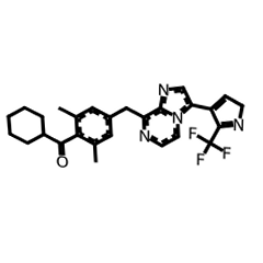 Cc1cc(Cc2nccn3c(C4=CCN=C4C(F)(F)F)cnc23)cc(C)c1C(=O)C1CCCCC1